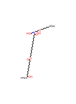 CCCCCCCCCCCCCCCCOCC(O)CN(CCO)C(=O)CCCCCCCCCCCCCCCOC(=O)CCCCCCCCCCC(O)CCCCCC